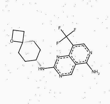 Nc1ncc(C(F)(F)F)c2nc(N[C@H]3CC[C@]4(CCO4)CC3)ncc12